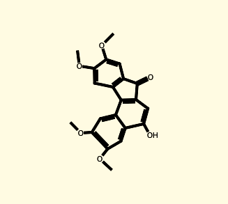 COc1cc2c(cc1OC)-c1c(cc(O)c3cc(OC)c(OC)cc13)C2=O